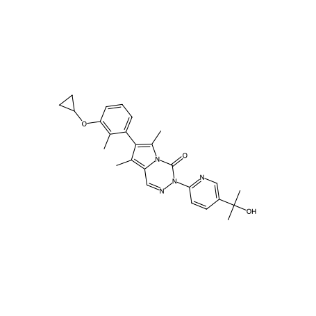 Cc1c(OC2CC2)cccc1-c1c(C)c2cnn(-c3ccc(C(C)(C)O)cn3)c(=O)n2c1C